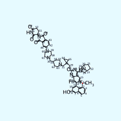 CCc1cccc2cc(O)cc(-c3c(F)cc4c(N5CC6CCC(C5)N6)nc(OCC5(CN6CCC(CN7CCN(c8ccc9c(c8)C(=O)N(C8CCC(=O)NC8=O)C9=O)CC7)CC6)CC5)nc4c3F)c12